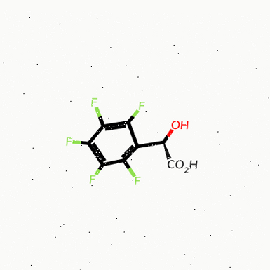 O=C(O)[C@H](O)c1c(F)c(F)c(F)c(F)c1F